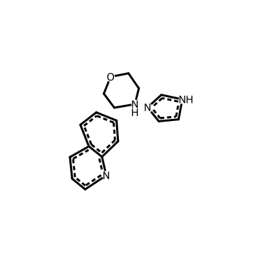 C1COCCN1.c1c[nH]cn1.c1ccc2ncccc2c1